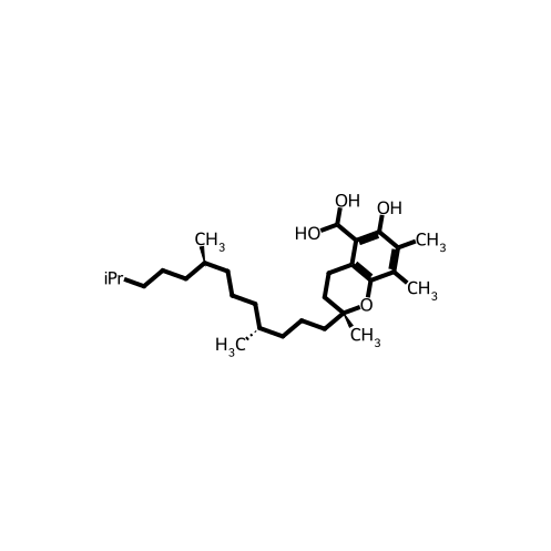 Cc1c(C)c2c(c(C(O)O)c1O)CC[C@@](C)(CCC[C@H](C)CCC[C@H](C)CCCC(C)C)O2